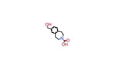 O=C(O)N1CCc2ccc(CO)cc2CC1